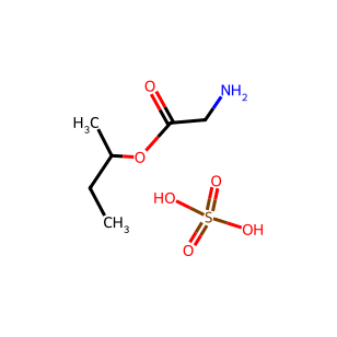 CCC(C)OC(=O)CN.O=S(=O)(O)O